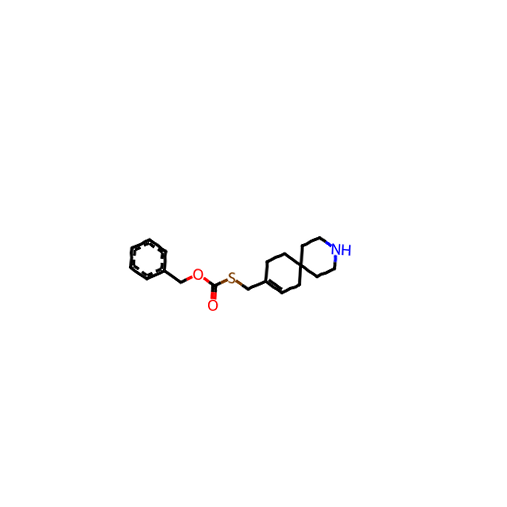 O=C(OCc1ccccc1)SCC1=CCC2(CCNCC2)CC1